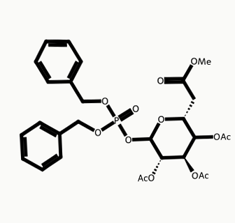 COC(=O)C[C@H]1OC(OP(=O)(OCc2ccccc2)OCc2ccccc2)[C@@H](OC(C)=O)[C@H](OC(C)=O)C1OC(C)=O